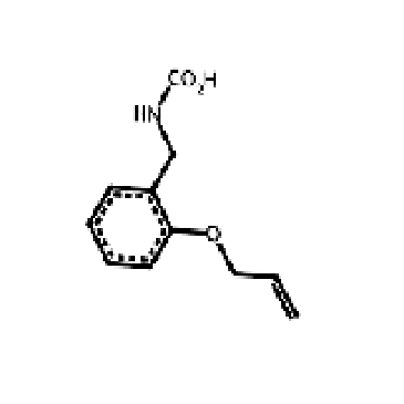 C=CCOc1ccccc1CNC(=O)O